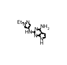 CCn1cc(Nc2nc(N)c3cc[nH]c3n2)cn1